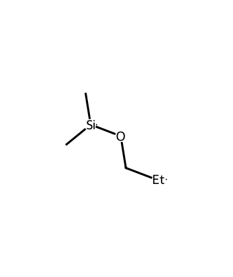 C[CH]CO[Si](C)C